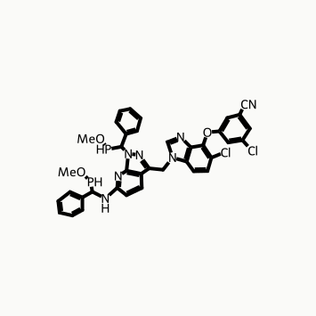 COPC(Nc1ccc2c(Cn3cnc4c(Oc5cc(Cl)cc(C#N)c5)c(Cl)ccc43)nn(C(POC)c3ccccc3)c2n1)c1ccccc1